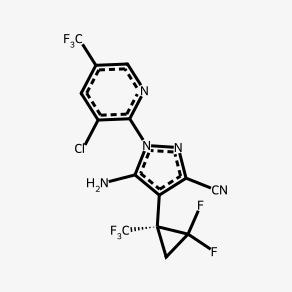 N#Cc1nn(-c2ncc(C(F)(F)F)cc2Cl)c(N)c1[C@]1(C(F)(F)F)CC1(F)F